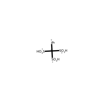 CC(C)C(S(=O)(=O)O)(S(=O)(=O)O)S(=O)(=O)O